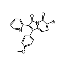 COc1ccc(C2=C(c3ccccn3)C(=O)n3c2ccc(Br)c3=O)cc1